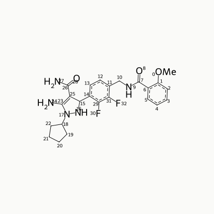 COc1ccccc1C(=O)NCc1ccc(C2NN(C3CCCC3)C(N)=C2C(N)=O)c(F)c1F